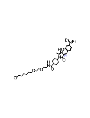 CCN(CC)c1ccc(/C=C2\N=C(C)N(C3CCC(C(=O)NCCOCCOCCCCCCCl)CC3)C2=O)c(O)c1